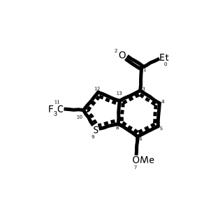 CCC(=O)c1ccc(OC)c2sc(C(F)(F)F)cc12